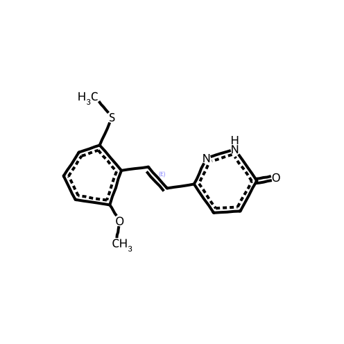 COc1cccc(SC)c1/C=C/c1ccc(=O)[nH]n1